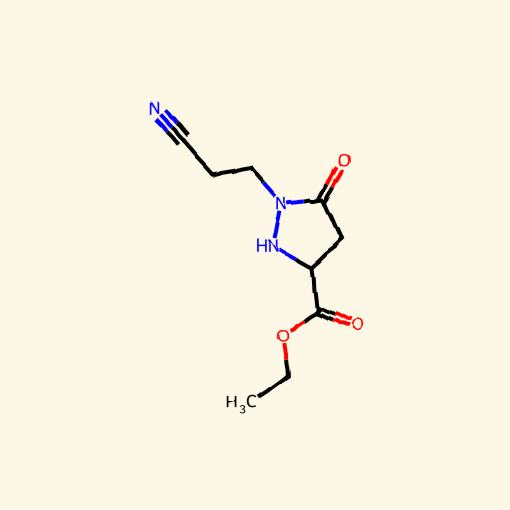 CCOC(=O)C1CC(=O)N(CCC#N)N1